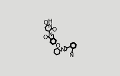 N#Cc1ccccc1C1CN([C@@H]2CCCC[C@@H]2Oc2ccc3c(c2)CN(C2CCC(=O)NC2=O)C3=O)C1